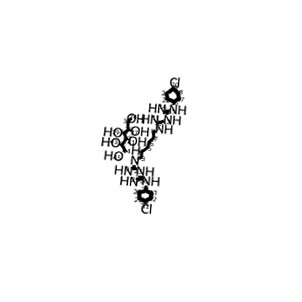 N=C(NCCCCCCNC(=N)NC(=N)Nc1ccc(Cl)cc1)NC(=N)Nc1ccc(Cl)cc1.OC[C@@H](O)[C@@H](O)[C@H](O)[C@@H](O)CO